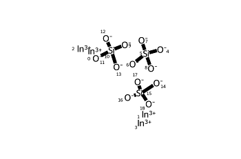 [In+3].[In+3].[In+3].[In+3].[O-][Si]([O-])([O-])[O-].[O-][Si]([O-])([O-])[O-].[O-][Si]([O-])([O-])[O-]